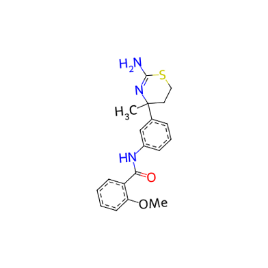 COc1ccccc1C(=O)Nc1cccc(C2(C)CCSC(N)=N2)c1